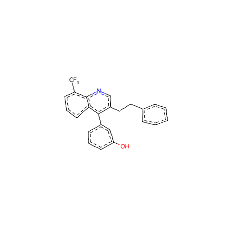 Oc1cccc(-c2c(CCc3ccccc3)cnc3c(C(F)(F)F)cccc23)c1